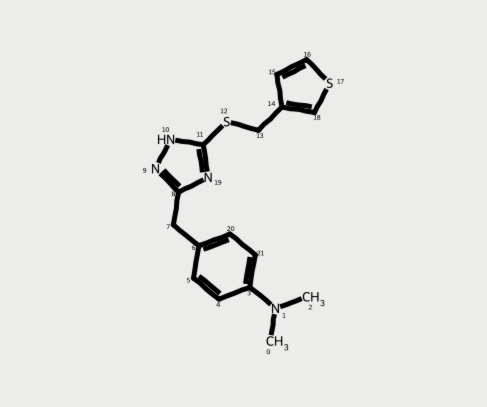 CN(C)c1ccc(Cc2n[nH]c(SCc3ccsc3)n2)cc1